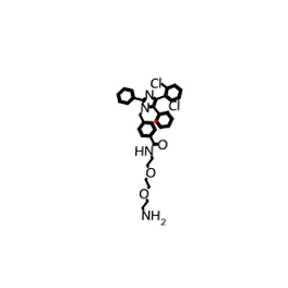 NCCOCCOCCNC(=O)c1ccc(Cn2c(-c3ccccc3)nc(-c3ccccc3Cl)c2-c2ccccc2Cl)cc1